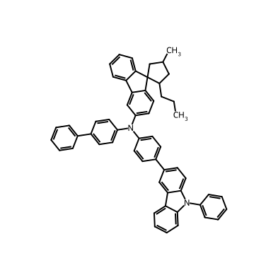 CCCC1CC(C)CC12c1ccccc1-c1cc(N(c3ccc(-c4ccccc4)cc3)c3ccc(-c4ccc5c(c4)c4ccccc4n5-c4ccccc4)cc3)ccc12